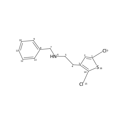 Clc1cc(CCNCc2ccccc2)c(Cl)s1